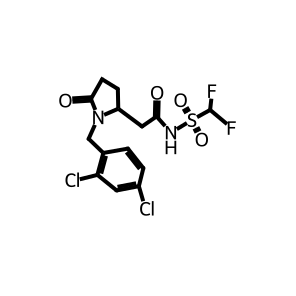 O=C(CC1CCC(=O)N1Cc1ccc(Cl)cc1Cl)NS(=O)(=O)C(F)F